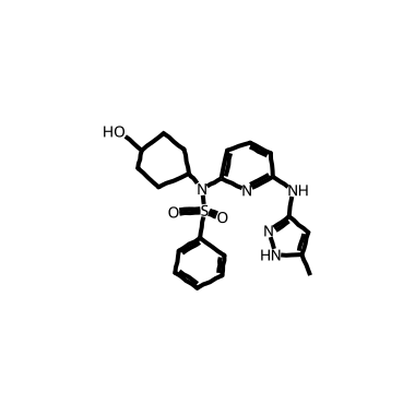 Cc1cc(Nc2cccc(N(C3CCC(O)CC3)S(=O)(=O)c3ccccc3)n2)n[nH]1